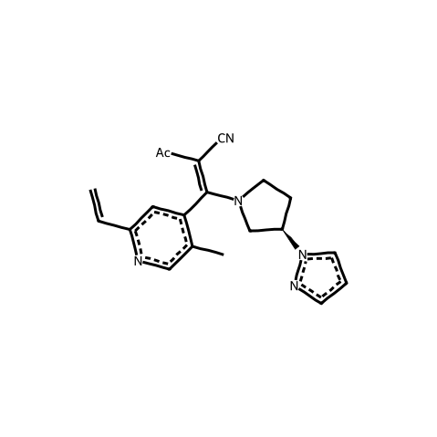 C=Cc1cc(/C(=C(/C#N)C(C)=O)N2CC[C@@H](n3cccn3)C2)c(C)cn1